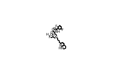 COC(CF)CN(CCCCc1ccc2c(n1)NCCC2)CCC(NC(=O)c1cc(F)ccc1F)C(=O)O